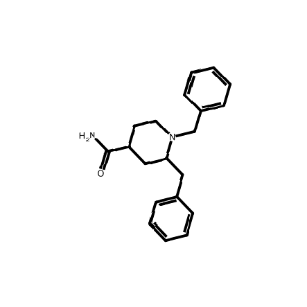 NC(=O)C1CCN(Cc2ccccc2)C(Cc2ccccc2)C1